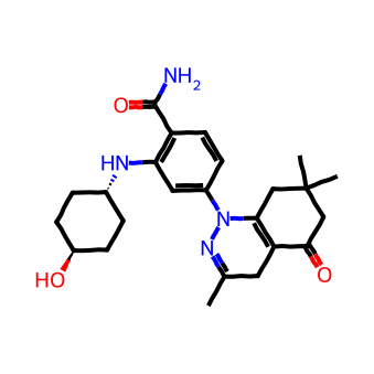 CC1=NN(c2ccc(C(N)=O)c(N[C@H]3CC[C@H](O)CC3)c2)C2=C(C1)C(=O)CC(C)(C)C2